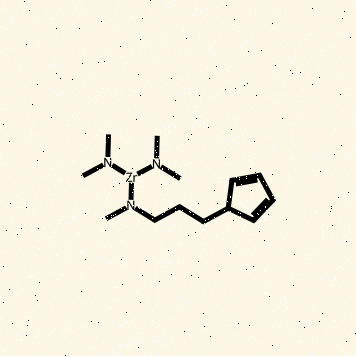 C[N](C)[Zr]([N](C)C)[N](C)CCCC1C=CC=C1